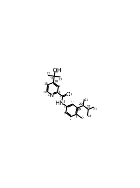 Cc1ccc(NC(=O)c2cc(C(C)(C)O)ccn2)cc1C(C)C(C)C